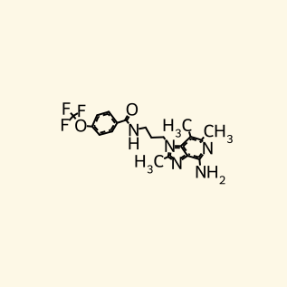 Cc1nc(N)c2nc(C)n(CCCNC(=O)c3ccc(OC(F)(F)F)cc3)c2c1C